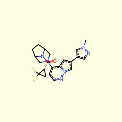 Cn1cc(-c2cc3c(N4CC5CCC(C4)N5C(=O)[C@@H]4CC4(F)F)ccnn3c2)cn1